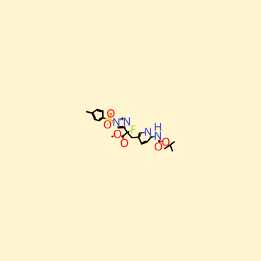 COC(=O)C(F)(Cc1ccc(NC(=O)OC(C)(C)C)nc1)c1cn(S(=O)(=O)c2ccc(C)cc2)cn1